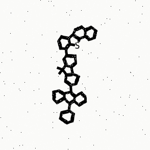 CC1(C)c2cc(-c3c4ccccc4c(-c4ccccc4)c4ccccc34)ccc2-c2ccc(-c3cccc4c3sc3c5ccccc5ccc43)cc21